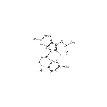 Cc1c(C2=CC[S+]([O-])c3ccc(Cl)cc32)c2cc(F)ccc2n1CC(=O)O